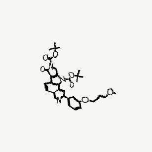 COCCCOc1cccc(-c2cc3c(ccc4c5c(n(C(=O)OC(C)(C)C)c43)CN(C(=O)OC(C)(C)C)C5=O)cn2)c1